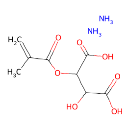 C=C(C)C(=O)OC(C(=O)O)C(O)C(=O)O.N.N